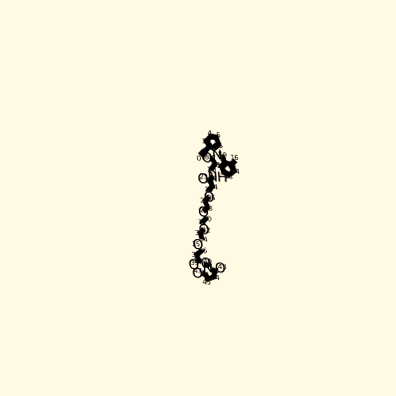 C#Cc1ccccc1N(Cc1ccccc1C)C(=O)CCNC(=O)CCOCCOCCOCCOCCC(=O)ON1C(=O)CCC1=O